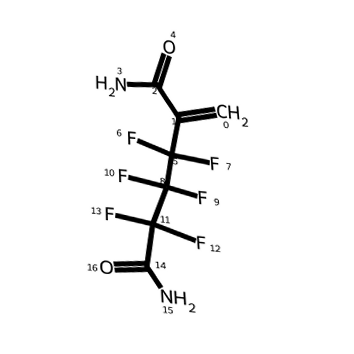 C=C(C(N)=O)C(F)(F)C(F)(F)C(F)(F)C(N)=O